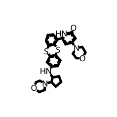 O=c1cc(N2CCOCC2)cc(-c2cccc3c2Sc2ccc(NC4CCCC4N4CCOCC4)cc2S3)[nH]1